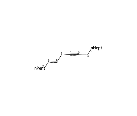 [CH2]CCCCC=CCC#CCCCCCCCC